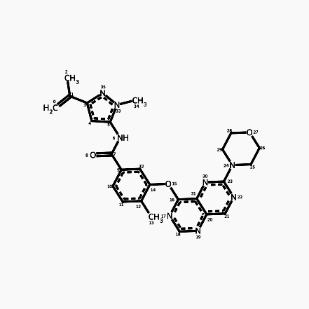 C=C(C)c1cc(NC(=O)c2ccc(C)c(Oc3ncnc4cnc(N5CCOCC5)nc34)c2)n(C)n1